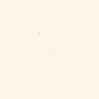 CC(N)C(c1ccc2c(c1)c(-c1ccccc1)cc(=O)n2Cc1ccccc1)C(C)O